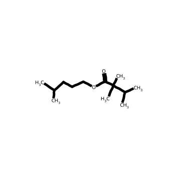 CC(C)CCCOC(=O)C(C)(C)C(C)C